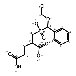 CCOC(c1ccccc1)P(=O)(O)CC(CCC(=O)O)C(=O)O